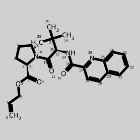 C=CCOC(=O)[C@H]1CCCN1C(=O)[C@H](NC(=O)c1ccc2ccccc2n1)C(C)(C)C